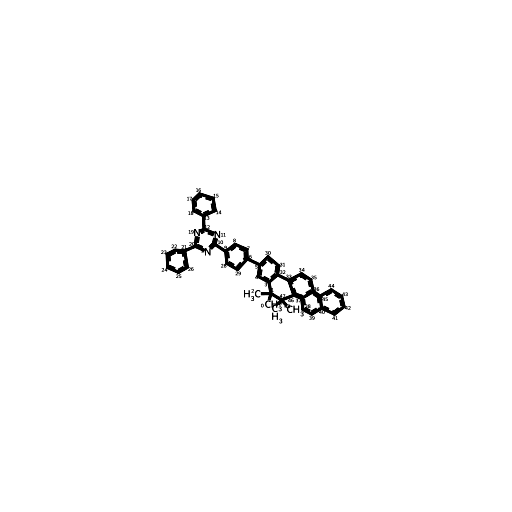 CC1(C)c2cc(-c3ccc(-c4nc(-c5ccccc5)nc(-c5ccccc5)n4)cc3)ccc2-c2ccc3c(ccc4ccccc43)c2C1(C)C